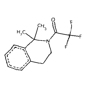 CC1(C)c2ccccc2CCN1C(=O)C(F)(F)F